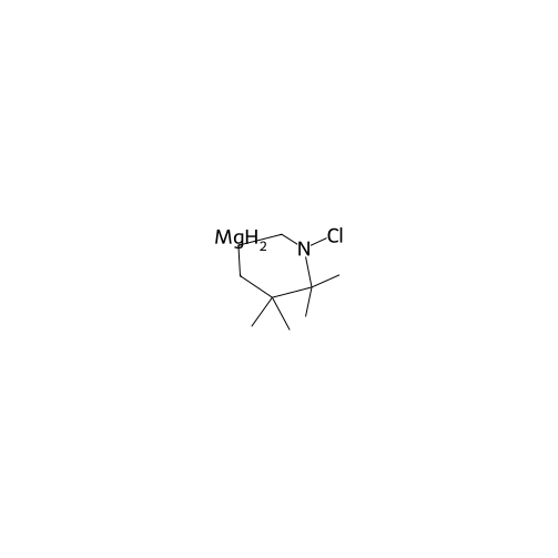 CC1(C)CCCN(Cl)C1(C)C.[MgH2]